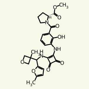 COC(=O)[C@H]1CCCN1C(=O)c1cccc(Nc2c(NC(c3ccc(C)o3)C3(C)COC3)c(=O)c2=O)c1O